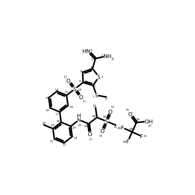 CSc1sc(C(=N)N)cc1S(=O)(=O)c1cccc(-c2c(C)cccc2NC(=O)C(C)S(C)(=O)=O)c1.O=C(O)C(F)(F)F